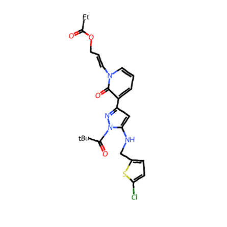 CCC(=O)OCC=Cn1cccc(-c2cc(NCc3ccc(Cl)s3)n(C(=O)C(C)(C)C)n2)c1=O